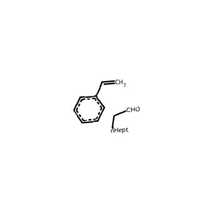 C=Cc1ccccc1.CCCCCCCCC=O